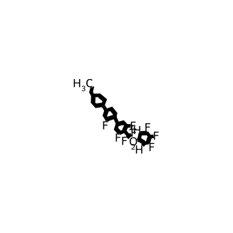 [2H]c1c(F)c(F)c(F)c([2H])c1OC(F)(F)c1c(F)cc(-c2ccc(-c3ccc(CCC)cc3)cc2F)cc1F